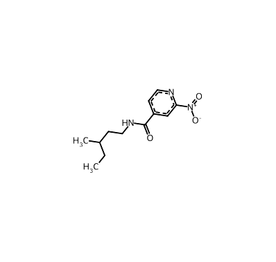 CCC(C)CCNC(=O)c1ccnc([N+](=O)[O-])c1